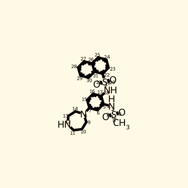 CS(=O)(=O)Nc1cc(N2CCCNCC2)ccc1NS(=O)(=O)c1cccc2ccccc12